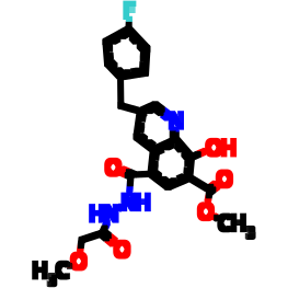 COCC(=O)NNC(=O)c1cc(C(=O)OC)c(O)c2ncc(Cc3ccc(F)cc3)cc12